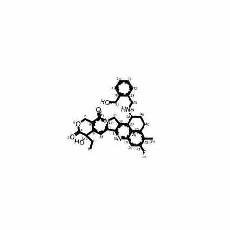 CC[C@@]1(O)C(=O)OCc2c1cc1n(c2=O)Cc2c-1nc1cc(F)c(C)c3c1c2[C@@H](NCc1ccccc1CO)CC3